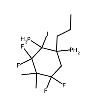 CCCC1(P)CC(F)(F)C(C)(C)C(F)(F)C1(P)I